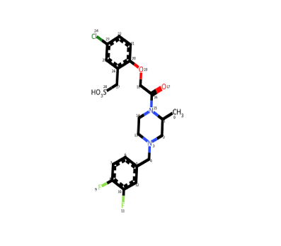 CC1CN(Cc2ccc(F)c(F)c2)CCN1C(=O)COc1ccc(Cl)cc1CS(=O)(=O)O